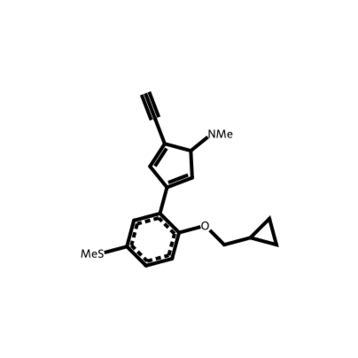 C#CC1=CC(c2cc(SC)ccc2OCC2CC2)=CC1NC